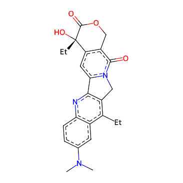 CCc1c2c(nc3ccc(N(C)C)cc13)-c1cc3c(c(=O)n1C2)COC(=O)[C@]3(O)CC